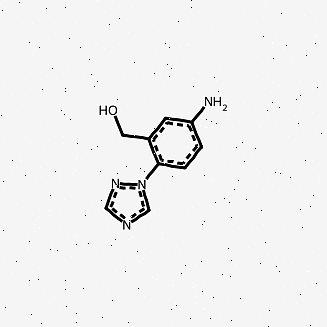 Nc1ccc(-n2cncn2)c(CO)c1